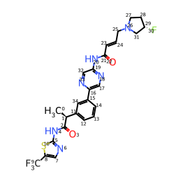 C[C@H](C(=O)Nc1ncc(C(F)(F)F)s1)c1cccc(-c2cnc(NC(=O)/C=C/CN3CC[C@H](F)C3)cn2)c1